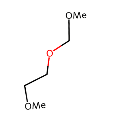 [CH2]OCOCCOC